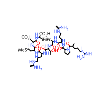 C=C(N)NCCCC(NC(=O)C(NC(=O)C(NC(=O)C(CCCNC(=C)N)NC(=O)C1CCCN1C(=O)C(C)CCCNC(=N)N)C(C)C)C(C)O)C(=O)NC(CCSC)C(=O)NC(CC(=O)O)C(=O)NC(C(=O)O)C(C)C